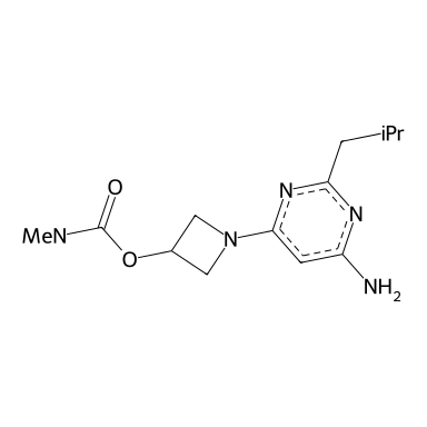 CNC(=O)OC1CN(c2cc(N)nc(CC(C)C)n2)C1